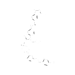 Cc1n[nH]c2c(F)cc(C(=O)Nc3ccc4c(c3)nc(C3CC35CCN(c3cccc(OCc6ccc(Cl)cc6F)n3)CC5)n4CC3CCO3)cc12